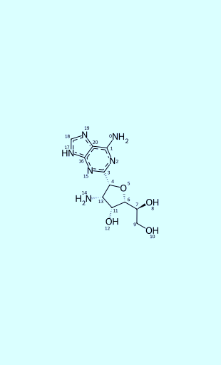 Nc1nc([C@@H]2O[C@H]([C@@H](O)CO)[C@H](O)[C@@H]2N)nc2[nH]cnc12